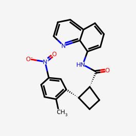 Cc1ccc([N+](=O)[O-])cc1[C@H]1CC[C@H]1C(=O)Nc1cccc2cccnc12